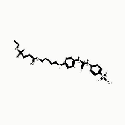 CCOC(C)(C)CCC(=O)NCCCCOc1ccc(NC(=O)Nc2ccc(S(N)(=O)=O)cc2)cc1